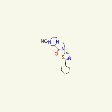 N#CN1CCN2CCN(c3cnc(C4CCCCC4)s3)C(=O)C2C1